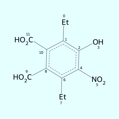 CCc1c(O)c([N+](=O)[O-])c(CC)c(C(=O)O)c1C(=O)O